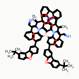 C=C(/C(=C(\C=N)c1ccccc1)N1c2ccc(-c3ccc4oc5ccc(C(C)(C)C)cc5c4c3)cc2B2c3cc(-c4ccc5oc6ccc(C(C)(C)C)cc6c5c4)ccc3N(/C(C(=C)c3ccccc3)=C(/C=N)c3ccccc3)c3cc(-n4c5ccccc5c5ccccc54)cc1c32)c1ccccc1